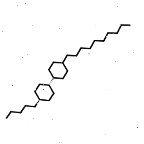 CCCCCCCCCCC1CCC([C@H]2CC[C@H](CCCCC)CC2)CC1